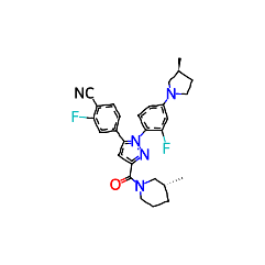 C[C@@H]1CCCN(C(=O)c2cc(-c3ccc(C#N)c(F)c3)n(-c3ccc(N4CC[C@H](C)C4)cc3F)n2)C1